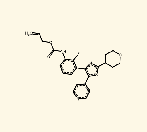 C=CCOC(=O)Nc1cccc(-c2nc(C3CCOCC3)sc2-c2ccncc2)c1F